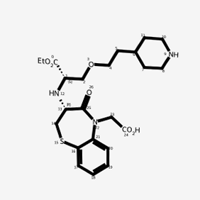 CCOC(=O)[C@H](COCCC1CCNCC1)N[C@H]1CSc2ccccc2N(CC(=O)O)C1=O